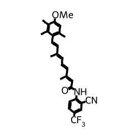 COc1cc(C)c(/C=C/C(C)=C/C=C/C(C)=C/C(=O)Nc2ccc(C(F)(F)F)cc2C#N)c(C)c1C